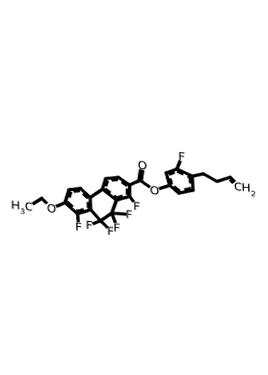 C=CCCc1ccc(OC(=O)c2ccc3c(c2F)C(F)(F)C(F)(F)c2c-3ccc(OCC)c2F)cc1F